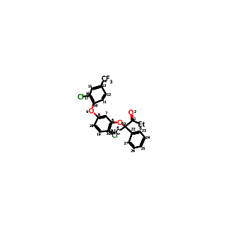 CCC(=O)C(C#N)(Oc1cc(Oc2ccc(C(F)(F)F)cc2Cl)ccc1Cl)c1ccccc1